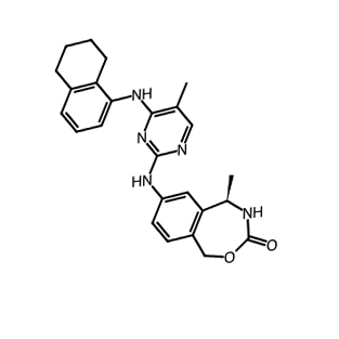 Cc1cnc(Nc2ccc3c(c2)[C@@H](C)NC(=O)OC3)nc1Nc1cccc2c1CCCC2